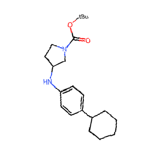 CC(C)(C)OC(=O)N1CCC(Nc2ccc(C3CCCCC3)cc2)C1